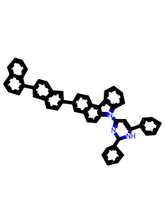 C1=C(c2ccccc2)NC(c2ccccc2)N=C1n1c2ccccc2c2c3ccc(-c4ccc5cc(-c6cccc7ccccc67)ccc5c4)cc3ccc21